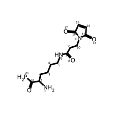 NC(CCCCNC(=O)CCN1C(=O)C=CC1=O)C(=O)P